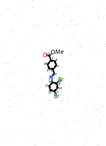 COC(=O)c1ccc(/C=N/c2ccc(Br)cc2Br)cc1